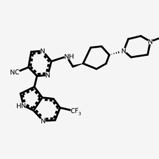 CN1CCN([C@H]2CC[C@H](CNc3ncc(C#N)c(-c4c[nH]c5ncc(C(F)(F)F)cc45)n3)CC2)CC1